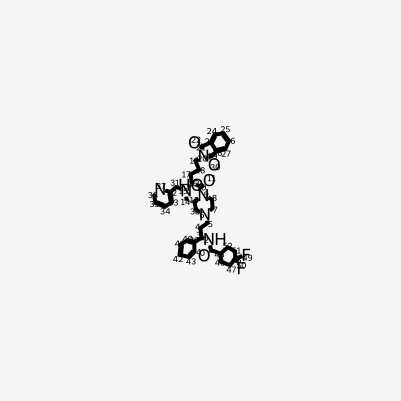 O=C(NC(CCN1CCN(C(=O)O)[C@@H](CN(CCCCN2C(=O)c3ccccc3C2=O)Cc2ccccn2)C1)c1ccccc1)C1CCC(F)(F)CC1